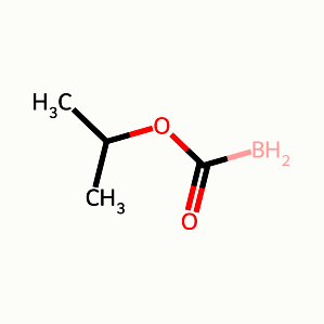 BC(=O)OC(C)C